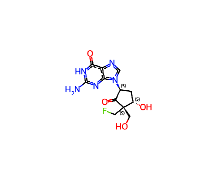 Nc1nc2c(ncn2[C@H]2C[C@H](O)[C@](CO)(CF)C2=O)c(=O)[nH]1